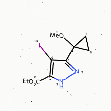 CCOC(=O)c1[nH]nc(C2(OC)CC2)c1I